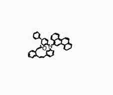 Cc1cc2ccccc2ccc2cccc(N(c3ccc(-c4ccccc4)cc3)c3cc4c5ccccc5ccc4c4ccccc34)c2o1